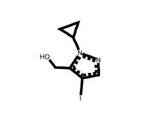 OCc1c(I)cnn1C1CC1